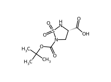 CC(C)(C)OC(=O)N1C[C@@H](C(=O)O)NS1(=O)=O